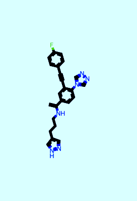 C=C(NCCCc1cn[nH]c1)c1ccc(-n2cnnc2)c(C#Cc2ccc(F)cc2)c1